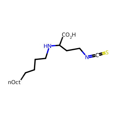 CCCCCCCCCCCCNC(CCN=C=S)C(=O)O